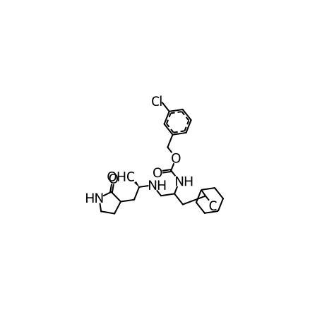 O=C[C@H](CC1CCNC1=O)NCC(CC1CC2CCC1CC2)NC(=O)OCc1cccc(Cl)c1